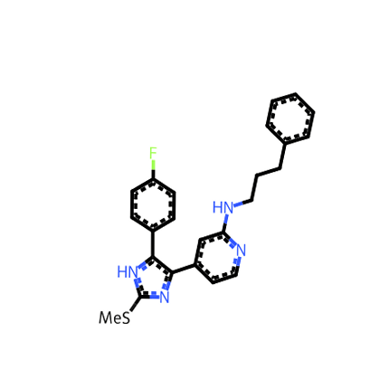 CSc1nc(-c2ccnc(NCCCc3ccccc3)c2)c(-c2ccc(F)cc2)[nH]1